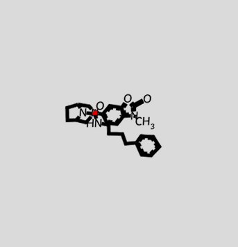 Cn1c(=O)oc2cc(N3CC4CCC(C3)N4C(=O)NCCCCc3ccccc3)ccc21